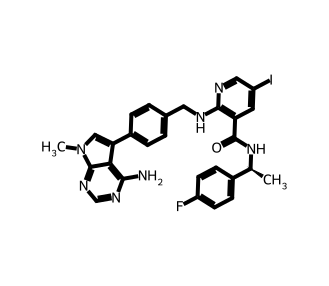 C[C@H](NC(=O)c1cc(I)cnc1NCc1ccc(-c2cn(C)c3ncnc(N)c23)cc1)c1ccc(F)cc1